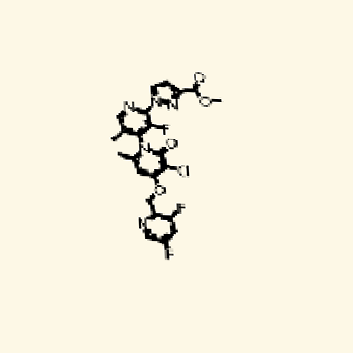 COC(=O)c1ccn(-c2ncc(C)c(-n3c(C)cc(OCc4ncc(F)cc4F)c(Cl)c3=O)c2F)n1